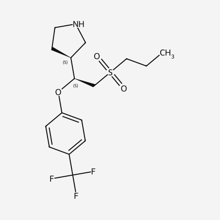 CCCS(=O)(=O)C[C@@H](Oc1ccc(C(F)(F)F)cc1)[C@H]1CCNC1